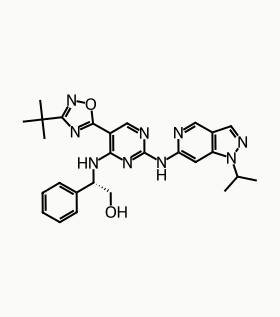 CC(C)n1ncc2cnc(Nc3ncc(-c4nc(C(C)(C)C)no4)c(N[C@H](CO)c4ccccc4)n3)cc21